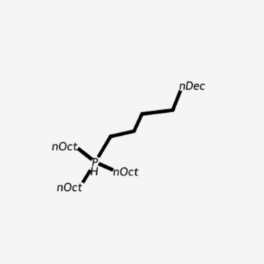 CCCCCCCCCCCCCC[PH](CCCCCCCC)(CCCCCCCC)CCCCCCCC